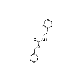 O=C(NCCc1ccccn1)OCc1ccccc1